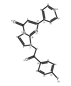 O=C(Cn1ccn2c(=O)cc(-c3ccncc3)nc12)c1ccc(F)cc1